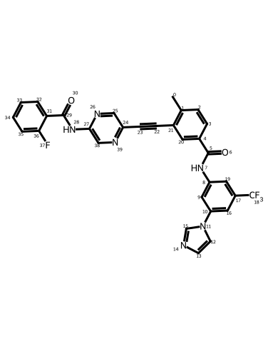 Cc1ccc(C(=O)Nc2cc(-n3ccnc3)cc(C(F)(F)F)c2)cc1C#Cc1cnc(NC(=O)c2ccccc2F)cn1